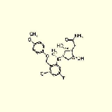 COc1ccc(OCc2c(Cl)cc(F)cc2[C@H](C)N2C[C@H](O)N(CC(N)=O)[C@H]2O)cc1